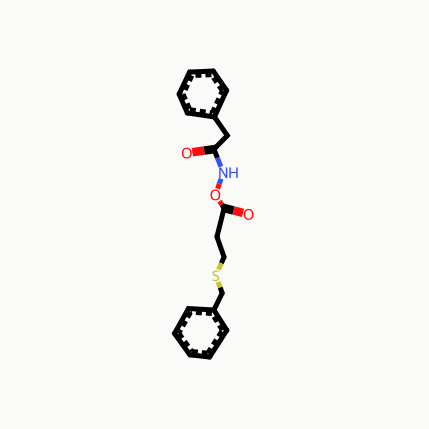 O=C(Cc1ccccc1)NOC(=O)CCSCc1ccccc1